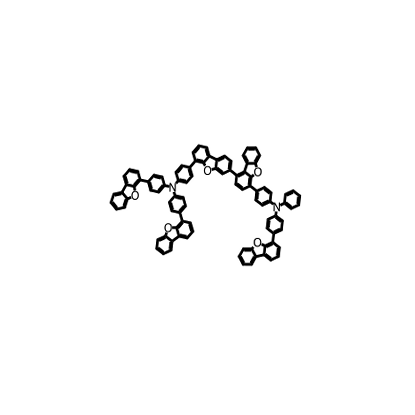 c1ccc(N(c2ccc(-c3cccc4c3oc3ccccc34)cc2)c2ccc(-c3ccc(-c4ccc5c(c4)oc4c(-c6ccc(N(c7ccc(-c8cccc9c8oc8ccccc89)cc7)c7ccc(-c8cccc9c8oc8ccccc89)cc7)cc6)cccc45)c4c3oc3ccccc34)cc2)cc1